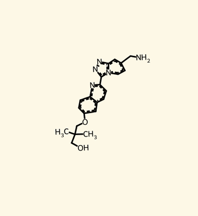 CC(C)(CO)COc1ccc2nc(-c3nnc4cc(CN)ccn34)ccc2c1